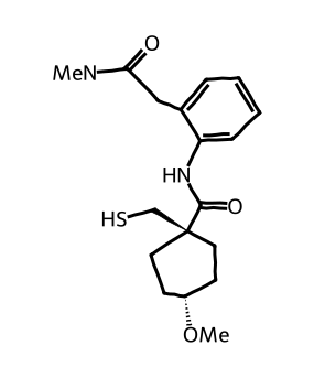 CNC(=O)Cc1ccccc1NC(=O)[C@]1(CS)CC[C@H](OC)CC1